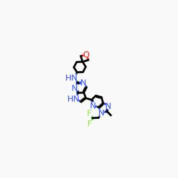 Cc1nc2ccc(-c3c[nH]c4nc(NC5CCC6(CC5)COC6)ncc34)nc2n1CC(F)F